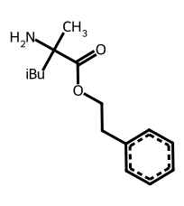 CCC(C)C(C)(N)C(=O)OCCc1ccccc1